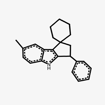 Cc1ccc2[nH]c3c(c2c1)C1(CCCCC1)CC3c1ccccc1